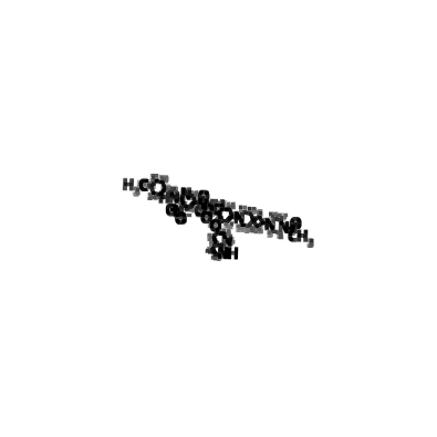 CC(=O)N1CCN(C2CC3(CCN(c4ccc(C(=O)NS(=O)(=O)c5cnc(NC[C@H]6CC[C@@H](C)CC6)c([N+](=O)[O-])c5)c(Oc5cnc6[nH]ccc6c5)c4)CC3)C2)CC1